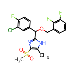 Cc1[nH]c(C(OCc2cccc(F)c2F)c2ccc(F)c(Cl)c2)nc1S(C)(=O)=O